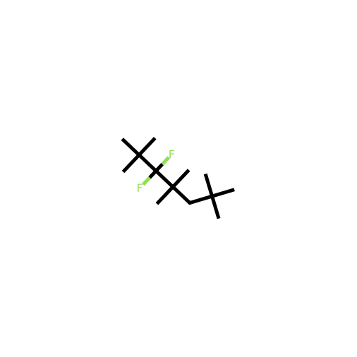 CC(C)(C)CC(C)(C)C(F)(F)C(C)(C)C